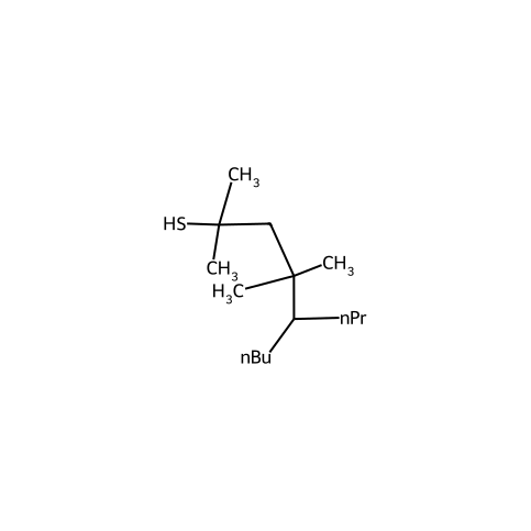 CCCCC(CCC)C(C)(C)CC(C)(C)S